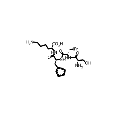 CC(C)C[C@H](NC(=O)[C@@H](N)CO)C(=O)N[C@@H](Cc1ccccc1)C(=O)N[C@@H](CCCCN)C(=O)O